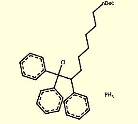 CCCCCCCCCCCCCCCCC(c1ccccc1)C(Cl)(c1ccccc1)c1ccccc1.P